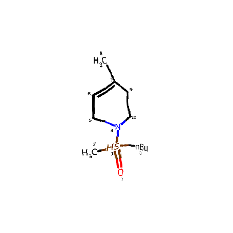 CCCC[SH](C)(=O)N1CC=C(C)CC1